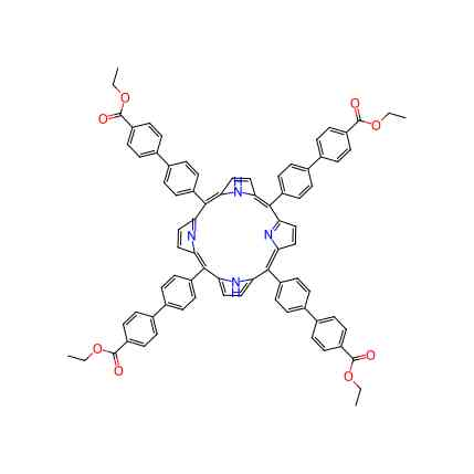 CCOC(=O)c1ccc(-c2ccc(-c3c4nc(c(-c5ccc(-c6ccc(C(=O)OCC)cc6)cc5)c5ccc([nH]5)c(-c5ccc(-c6ccc(C(=O)OCC)cc6)cc5)c5nc(c(-c6ccc(-c7ccc(C(=O)OCC)cc7)cc6)c6ccc3[nH]6)C=C5)C=C4)cc2)cc1